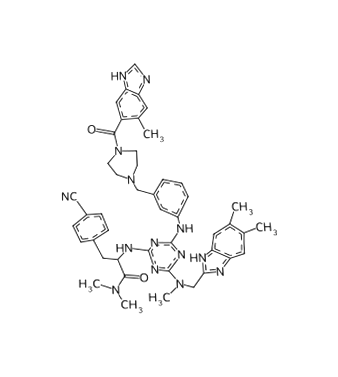 Cc1cc2nc(CN(C)c3nc(Nc4cccc(CN5CCN(C(=O)c6cc7[nH]cnc7cc6C)CC5)c4)nc(NC(Cc4ccc(C#N)cc4)C(=O)N(C)C)n3)[nH]c2cc1C